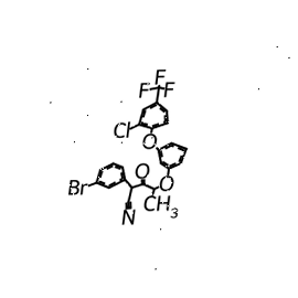 CC(Oc1cccc(Oc2ccc(C(F)(F)F)cc2Cl)c1)C(=O)C(C#N)c1cccc(Br)c1